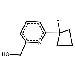 CCC1(c2cccc(CO)n2)CCC1